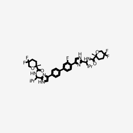 CC(C)C(NC(=O)[C@@]1(C)CCC(F)(F)CO1)c1nc(-c2ccc(-c3ccc(-c4c[nH]c(C(NC(=O)[C@@]5(C)CCC(F)(F)CO5)C(C)C)n4)c(F)c3)cc2)c[nH]1